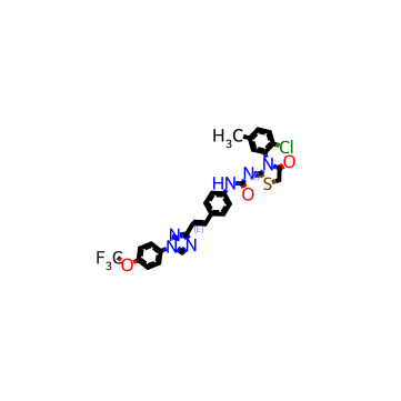 Cc1ccc(Cl)c(N2C(=O)CS/C2=N\C(=O)Nc2ccc(/C=C/c3ncn(-c4ccc(OC(F)(F)F)cc4)n3)cc2)c1